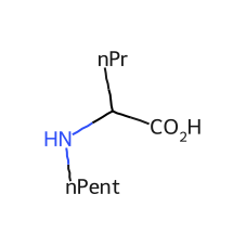 CCCCCNC(CCC)C(=O)O